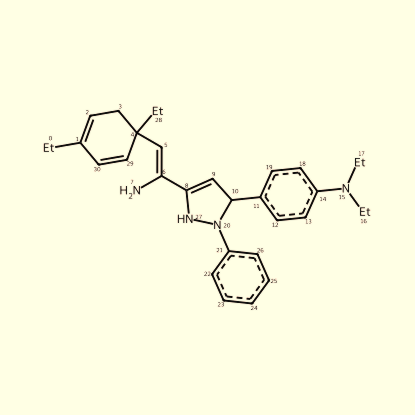 CCC1=CCC(C=C(N)C2=CC(c3ccc(N(CC)CC)cc3)N(c3ccccc3)N2)(CC)C=C1